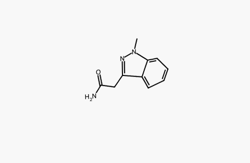 Cn1nc(CC(N)=O)c2ccccc21